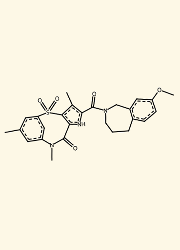 COc1ccc2c(c1)CN(C(=O)c1[nH]c3c(c1C)S(=O)(=O)c1cc(C)cc(c1)N(C)C3=O)CCC2